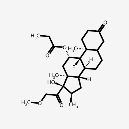 CCC(=O)O[C@H]1C[C@@]2(C)[C@@H](C[C@@H](C)[C@]2(O)C(=O)COC)[C@@H]2CCC3CC(=O)CC[C@]3(C)[C@@]12F